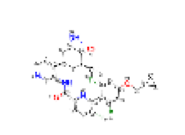 C[C@H]1C[C@@H](c2ccncc2NC(=O)c2ccc(F)c(-c3c(F)cc(OCC4CC4)cc3F)n2)C[C@@H](N)[C@@H]1O